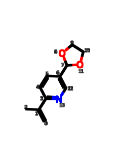 C=C(C)c1ccc(C2OCCO2)cn1